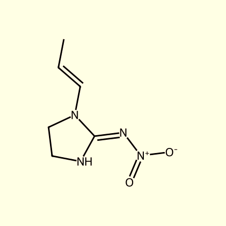 CC=CN1CCNC1=N[N+](=O)[O-]